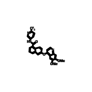 COc1cc2nccc(Oc3ccc4c(C(=O)Nc5ccc(C(F)(F)F)nc5)cccc4c3)c2cc1OC